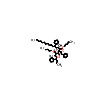 CCCCCCCCCCCC(CC(C)C(C(=O)OCCCCC)C(C)(CCc1ccccc1)C(CO)C(C(=O)OCCCCC)C(C)CC(CCC)c1ccccc1)c1ccccc1